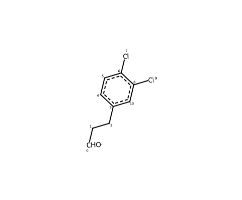 O=[C]CCc1ccc(Cl)c(Cl)c1